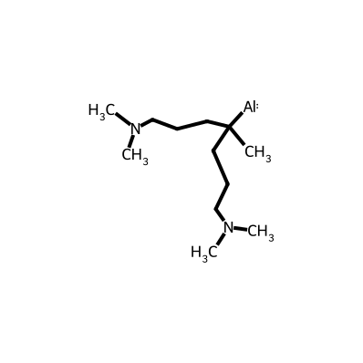 CN(C)CCC[C](C)([Al])CCCN(C)C